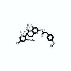 CCSc1ccc(CC(=O)Nc2cc(C)c3c(n2)CCC(C)(c2ncc(Cl)cc2OC)C3=O)cc1